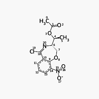 CC(=O)O[C@@H](C)[C@@H]1COc2c(cccc2[N+](=O)[O-])C(Cl)=N1